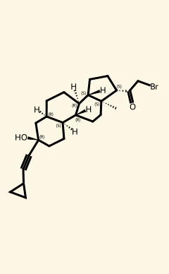 C[C@]12CC[C@H]3[C@@H](CC[C@@H]4C[C@@](O)(C#CC5CC5)CC[C@@H]43)[C@@H]1CC[C@@H]2C(=O)CBr